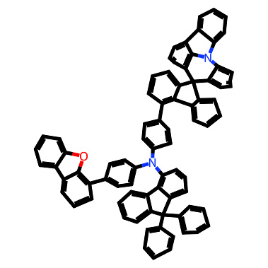 c1ccc(C2(c3ccccc3)c3ccccc3-c3c(N(c4ccc(-c5cccc6c5-c5ccccc5C65c6ccccc6-n6c7ccccc7c7cccc5c76)cc4)c4ccc(-c5cccc6c5oc5ccccc56)cc4)cccc32)cc1